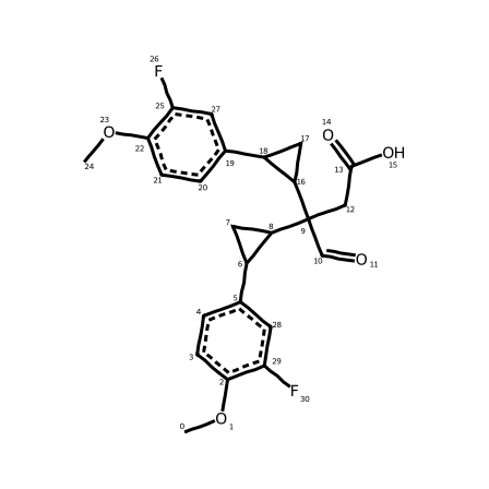 COc1ccc(C2CC2C(C=O)(CC(=O)O)C2CC2c2ccc(OC)c(F)c2)cc1F